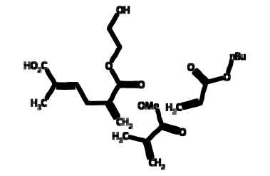 C=C(C)C(=O)OC.C=C(CC=C(C)C(=O)O)C(=O)OCCO.C=CC(=O)OCCCC